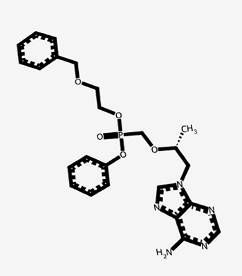 C[C@H](Cn1cnc2c(N)ncnc21)OCP(=O)(OCCOCc1ccccc1)Oc1ccccc1